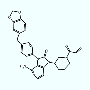 C=CC(=O)N1CCCC(n2c(=O)n(-c3ccc(Oc4ccc5c(c4)OCO5)cc3)c3c(N)nccc32)C1